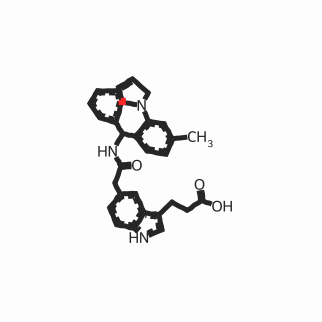 Cc1ccc(C(NC(=O)Cc2ccc3[nH]cc(CCC(=O)O)c3c2)c2ccccc2)c(N2CC=CC2)c1